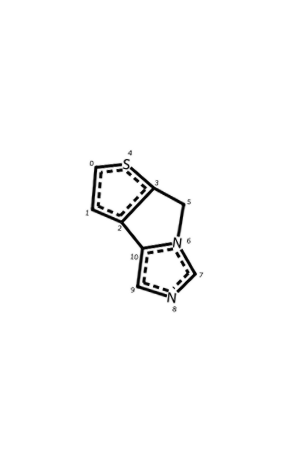 c1cc2c(s1)Cn1cncc1-2